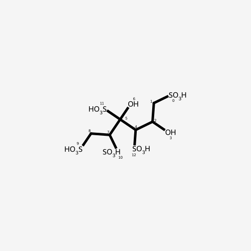 O=S(=O)(O)CC(O)C(C(O)(C(CS(=O)(=O)O)S(=O)(=O)O)S(=O)(=O)O)S(=O)(=O)O